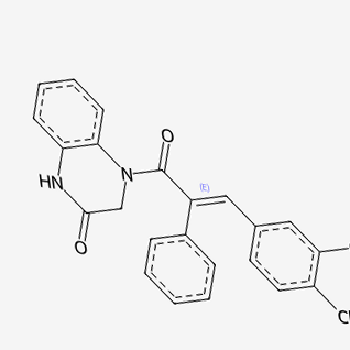 O=C1CN(C(=O)/C(=C/c2ccc(Cl)c(Cl)c2)c2ccccc2)c2ccccc2N1